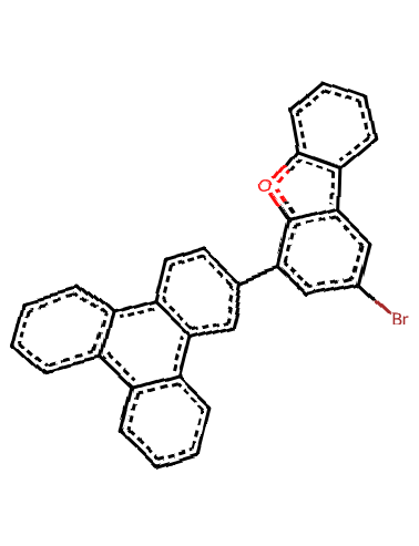 Brc1cc(-c2ccc3c4ccccc4c4ccccc4c3c2)c2oc3ccccc3c2c1